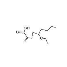 C=C(CCC(CCCC)OCC)C(=O)O